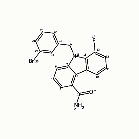 NC(=O)c1cccc2c1c1[c]ccc(F)c1n2Cc1cccc(Br)c1